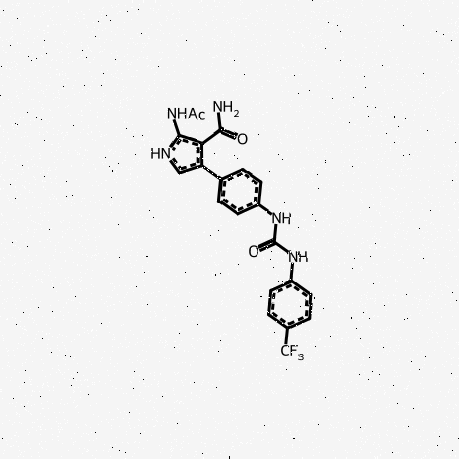 CC(=O)Nc1[nH]cc(-c2ccc(NC(=O)Nc3ccc(C(F)(F)F)cc3)cc2)c1C(N)=O